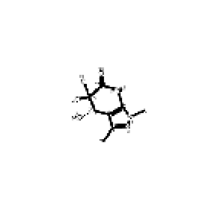 Cc1nn(C)c2c1[C@H](O)C(F)(F)C(=O)N2